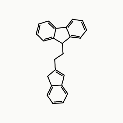 C1=C(CCC2c3ccccc3-c3ccccc32)Cc2ccccc21